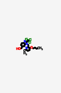 CCCCOc1ccc(C)nc1Cn1c(C(Cl)(Cl)Cl)nc2ccc(CO)cc21